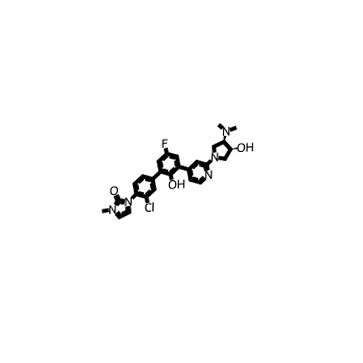 CN(C)[C@@H]1CN(c2cc(-c3cc(F)cc(-c4ccc(-n5ccn(C)c5=O)c(Cl)c4)c3O)ccn2)C[C@H]1O